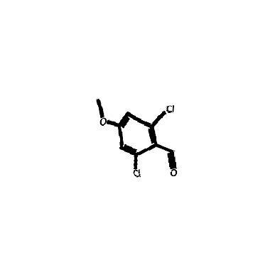 COc1cc(Cl)c([C]=O)c(Cl)c1